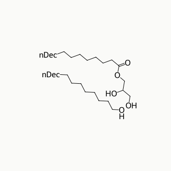 CCCCCCCCCCCCCCCCCC(=O)OCC(O)CO.CCCCCCCCCCCCCCCCCCO